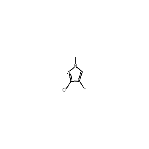 [CH2]c1cn(C)nc1Cl